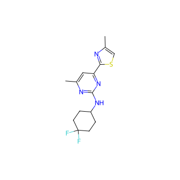 Cc1cc(-c2nc(C)cs2)nc(NC2CCC(F)(F)CC2)n1